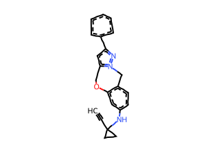 C#CC1(Nc2ccc3c(c2)OCc2cc(-c4ccccc4)nn2C3)CC1